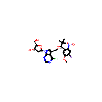 COc1cc([C@@H](OCc2cn([C@H]3C[C@@H](O)[C@@H](CO)O3)c3ncnc(Cl)c23)C(C)(C)C)c([N+](=O)[O-])cc1I